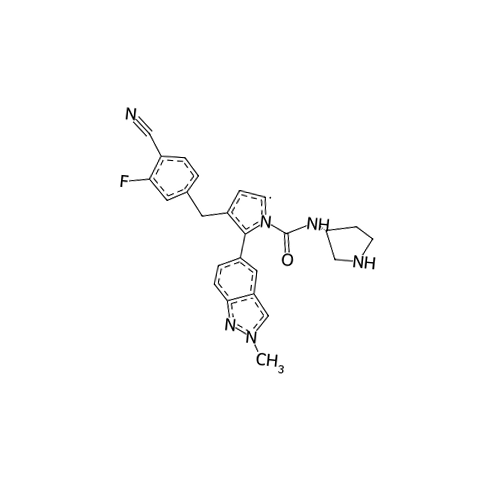 Cn1cc2cc(-c3c(Cc4ccc(C#N)c(F)c4)c[c]n3C(=O)N[C@@H]3CCNC3)ccc2n1